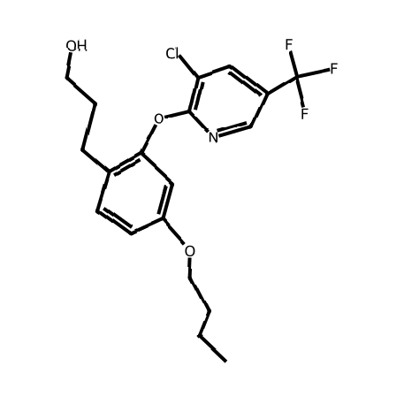 CCCCOc1ccc(CCCO)c(Oc2ncc(C(F)(F)F)cc2Cl)c1